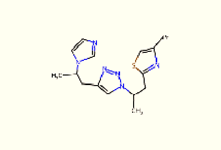 CC(C)c1csc(CC(C)n2cc(CC(C)n3ccnc3)nn2)n1